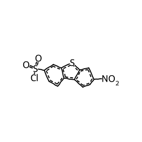 O=[N+]([O-])c1ccc2c(c1)sc1cc(S(=O)(=O)Cl)ccc12